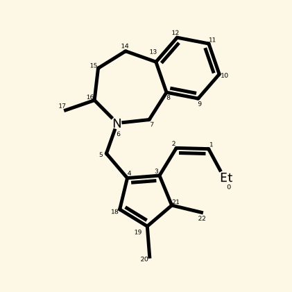 CC/C=C\C1=C(CN2Cc3ccccc3CCC2C)C=C(C)C1C